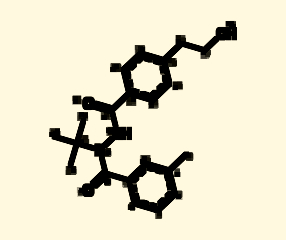 Cc1cccc(C(=O)N(NC(=O)c2ccc(CCO)cc2)C(C)(C)C)c1